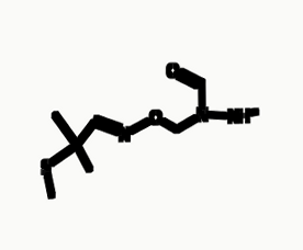 CNN(C=O)CON=CC(C)(C)SC